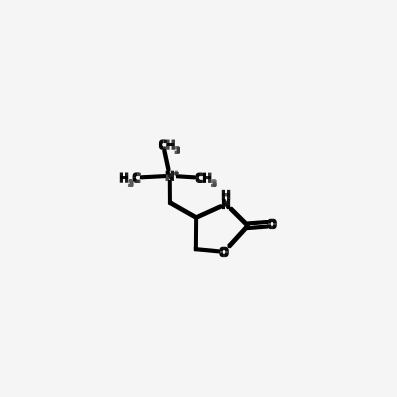 C[N+](C)(C)CC1COC(=O)N1